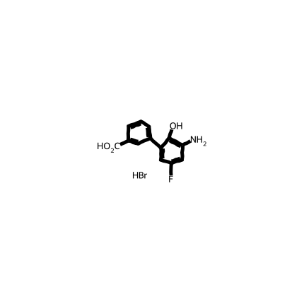 Br.Nc1cc(F)cc(-c2cccc(C(=O)O)c2)c1O